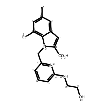 CCc1cc(C)cc2cc(C(=O)O)n(Cc3cccc(NCCO)n3)c12